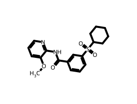 COc1cccnc1NC(=O)c1cccc(S(=O)(=O)C2CCCCC2)c1